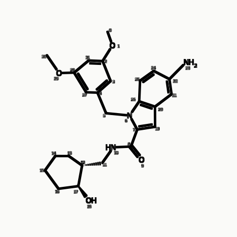 COc1cc(Cn2c(C(=O)NC[C@H]3CCCC[C@@H]3O)cc3cc(N)ccc32)cc(OC)c1